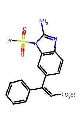 CCOC(=O)/C=C(/c1ccccc1)c1ccc2nc(N)n(S(=O)(=O)C(C)C)c2c1